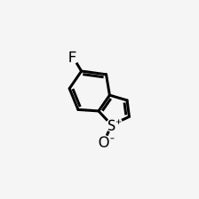 [O-][s+]1ccc2cc(F)ccc21